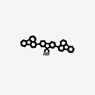 OCC1(CO)c2cc(-c3ccc4c5c(cccc35)-c3ccccc3-4)ccc2-c2ccc(-c3ccc4c5c(cccc35)-c3ccccc3-4)cc21